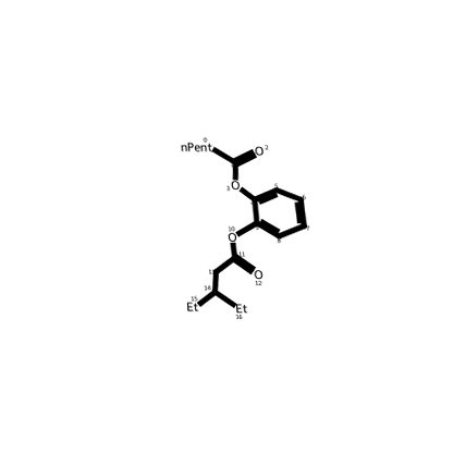 CCCCCC(=O)Oc1ccccc1OC(=O)CC(CC)CC